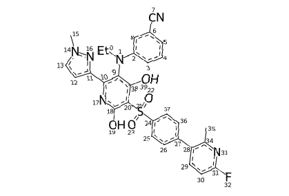 CCN(c1cccc(C#N)c1)c1c(-c2ccn(C)n2)nc(O)c(S(=O)(=O)c2ccc(-c3ccc(F)nc3C)cc2)c1O